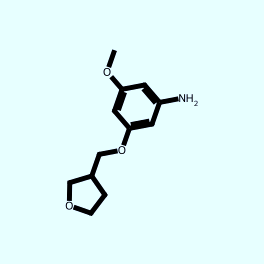 COc1cc(N)cc(OCC2CCOC2)c1